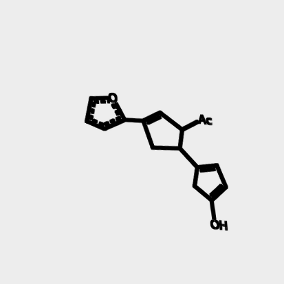 CC(=O)C1C=C(c2ccco2)CC1C1=CC=C(O)C1